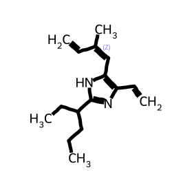 C=C/C(C)=C\c1[nH]c(C(CC)CCC)nc1C=C